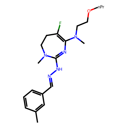 CCCOCCN(C)C1=C(F)CCN(C)C(N/N=C/c2cccc(C)c2)=N1